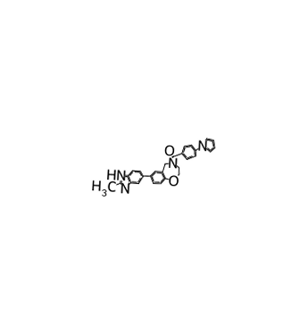 Cc1nc2cc(-c3ccc4c(c3)CN(C(=O)c3ccc(-n5cccc5)cc3)CCO4)ccc2[nH]1